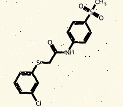 CS(=O)(=O)c1ccc(NC(=O)CSc2cccc(Cl)c2)cc1